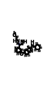 COCCN/C=C(\C=N)c1cc(Oc2ccc3nc(NC4CCCCC4)sc3c2)ccn1